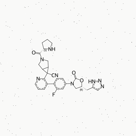 N#CC1(c2ncccc2-c2ccc(N3C[C@@H](Cc4cnn[nH]4)OC3=O)cc2F)C2CN(C(=O)[C@@H]3CCCN3)CC21